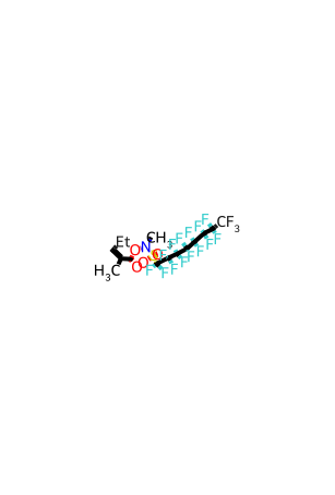 CCC=C(C)C(=O)ON(C)S(=O)(=O)C(F)(F)C(F)(F)C(F)(F)C(F)(F)C(F)(F)C(F)(F)C(F)(F)C(F)(F)F